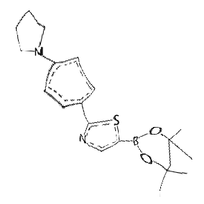 CC1(C)OB(c2cnc(-c3ccc(N4CCCC4)cc3)s2)OC1(C)C